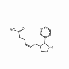 O=C(O)CC/C=C\CC1CCNC1c1cccnc1